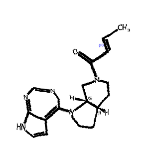 C/C=C/C(=O)N1CC[C@@H]2CCN(c3ncnc4[nH]ccc34)[C@@H]2C1